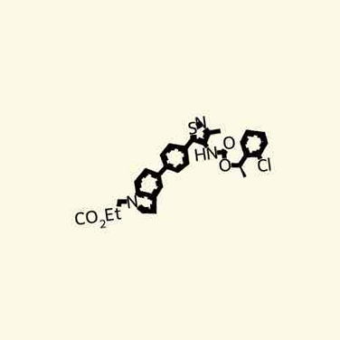 CCOC(=O)Cn1ccc2cc(-c3ccc(-c4snc(C)c4NC(=O)O[C@H](C)c4ccccc4Cl)cc3)ccc21